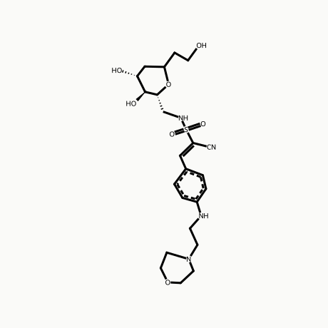 N#C/C(=C\c1ccc(NCCN2CCOCC2)cc1)S(=O)(=O)NC[C@H]1OC(CCO)C[C@@H](O)[C@@H]1O